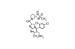 CC1=NC2=NC(C(=O)N3CC[C@H](NS(C)(=O)=O)C3)CN2C(c2ccc(Cl)cc2Cl)=C1CN